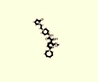 CNc1nc(N2CCCCCC2)ccc1C(=N)C(=O)NC1CCN(CCN2CCCC2=O)CC1